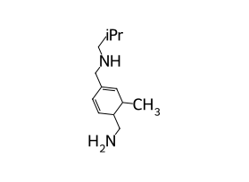 CC(C)CNCC1=CC(C)C(CN)C=C1